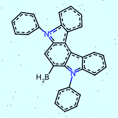 Bc1cc2c(c3ccccc3n2-c2ccccc2)c2c3ccccc3n(-c3ccccc3)c12